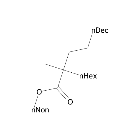 CCCCCCCCCCCCC(C)(CCCCCC)C(=O)OCCCCCCCCC